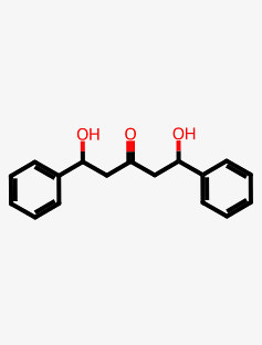 O=C(CC(O)c1ccccc1)CC(O)c1ccccc1